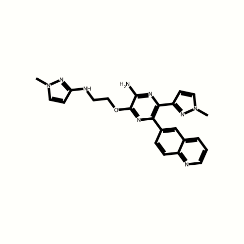 Cn1ccc(NCCOc2nc(-c3ccc4ncccc4c3)c(-c3ccn(C)n3)nc2N)n1